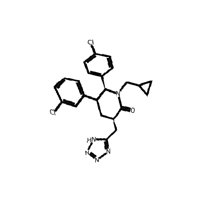 O=C1[C@@H](Cc2nnn[nH]2)CC(c2cccc(Cl)c2)[C@@H](c2ccc(Cl)cc2)N1CC1CC1